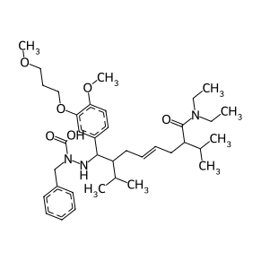 CCN(CC)C(=O)C(C/C=C/CC(C(C)C)C(NN(Cc1ccccc1)C(=O)O)c1ccc(OC)c(OCCCOC)c1)C(C)C